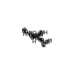 CN=S1(=O)CCC(CNc2ccc(S(=O)(=O)NC(=O)c3ccc(N4CCN(CC5=C(c6ccc(Cl)cc6)CC(C)(C)CC5)CC4)cc3Oc3cnc4[nH]ccc4c3)cc2[N+](=O)[O-])CC1